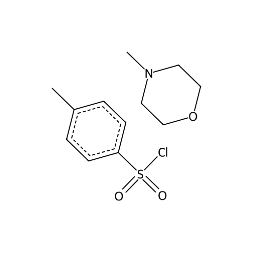 CN1CCOCC1.Cc1ccc(S(=O)(=O)Cl)cc1